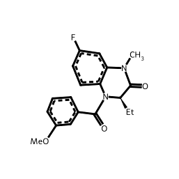 CC[C@@H]1C(=O)N(C)c2cc(F)ccc2N1C(=O)c1cccc(OC)c1